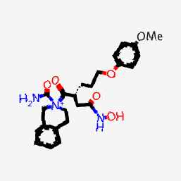 COc1ccc(OCCC[C@H](CC(=O)NO)C(=O)[N+]2(C(N)=O)CCc3ccccc3C2)cc1